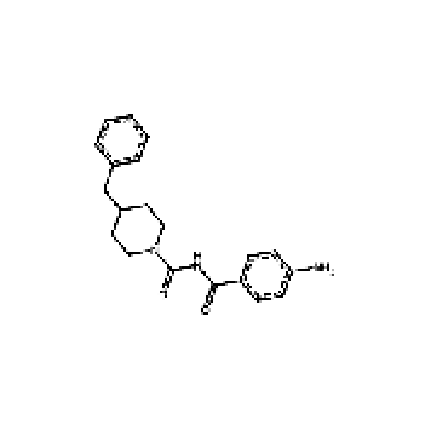 Nc1ccc(C(=O)NC(=O)N2CCC(Cc3ccccc3)CC2)cc1